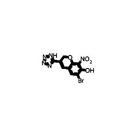 O=[N+]([O-])c1c(O)c(Br)cc2c1OCC(c1nnn[nH]1)=C2